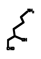 NCCCC(O)CC=O